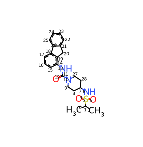 CC(C)S(=O)(=O)NC1CCN(C(=O)Nc2cccc3c2Cc2ccccc2-3)CC1